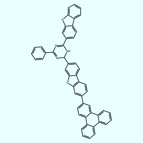 c1ccc(C2=NC(c3ccc4c(c3)oc3cc(-c5ccc6c7ccccc7c7ccccc7c6c5)ccc34)NC(c3ccc4c(c3)oc3ccccc34)=N2)cc1